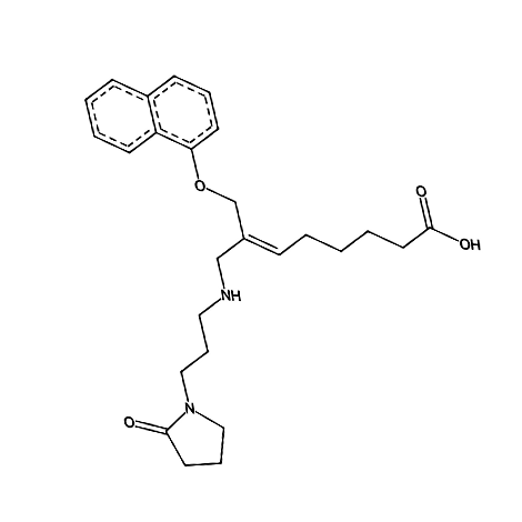 O=C(O)CCCC/C=C(/CNCCCN1CCCC1=O)COc1cccc2ccccc12